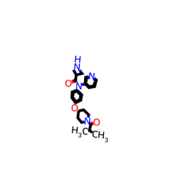 CC(C)C(=O)N1CCC(Oc2ccc(N(C(=O)C3CNC3)c3cccnc3)cc2)CC1